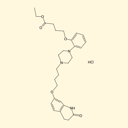 CCOC(=O)CCCOc1ccccc1N1CCN(CCCCOc2ccc3c(c2)NC(=O)CC3)CC1.Cl